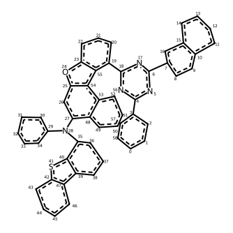 c1ccc(-c2nc(-c3ccc4ccccc4c3)nc(-c3cccc4oc5cc(N(c6ccccc6)c6cccc7c6sc6ccccc67)c6ccccc6c5c34)n2)cc1